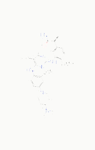 C=C(C(N)=O)c1ccc(OC)c(Nc2ncc(C(F)(F)F)c(Nc3ccc(N4CCC(N(C)C)CC4)cc3OC)n2)c1